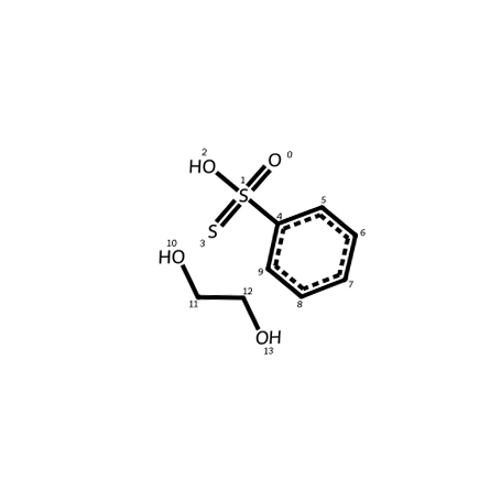 O=S(O)(=S)c1ccccc1.OCCO